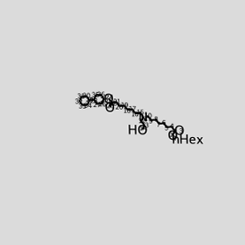 CCCCCCOC(=O)CCCCCCCN(CCO)CCCCCCCC(=O)OC1CCC(C2CCCCC2)CC1